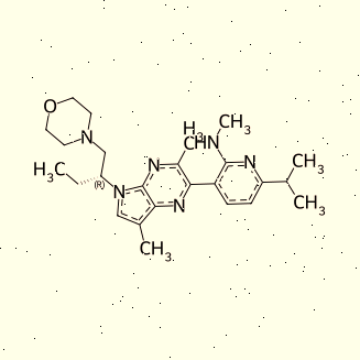 CC[C@H](CN1CCOCC1)n1cc(C)c2nc(-c3ccc(C(C)C)nc3NC)c(C)nc21